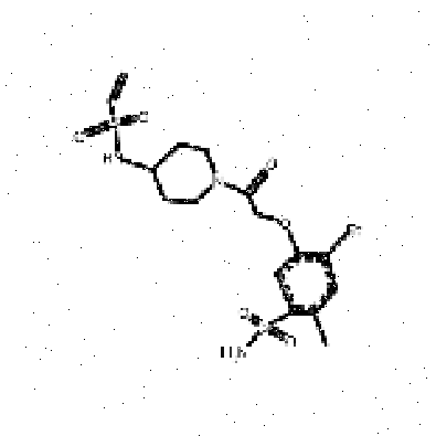 C=CS(=O)(=O)NC1CCN(C(=O)COc2cc(S(N)(=O)=O)c(C)cc2CC)CC1